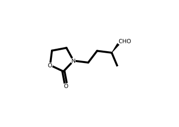 C[C@H](C=O)CCN1CCOC1=O